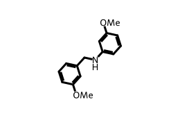 COc1cccc(CNc2cccc(OC)c2)c1